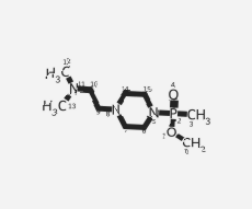 COP(C)(=O)N1CCN(CCN(C)C)CC1